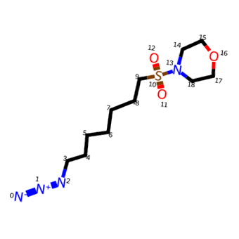 [N-]=[N+]=NCCCCC[CH]CS(=O)(=O)N1CCOCC1